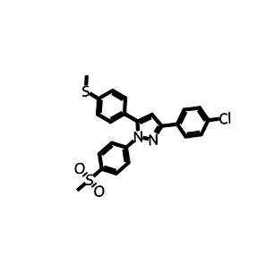 CSc1ccc(-c2cc(-c3ccc(Cl)cc3)nn2-c2ccc(S(C)(=O)=O)cc2)cc1